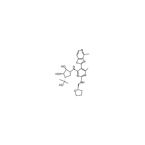 Cc1nc(NC[C@H]2CCCO2)nc(NC2C[C@H](C(C)(C)O)[C@@H](O)[C@H]2O)c1-c1nc2c(C)nccc2s1